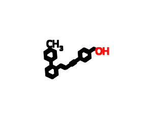 Cc1ccc(-c2ccccc2/C=C/C#Cc2ccc(CO)cc2)cc1